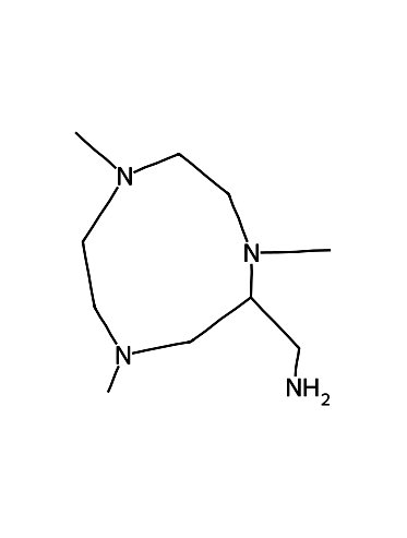 CN1CCN(C)CC(CN)N(C)CC1